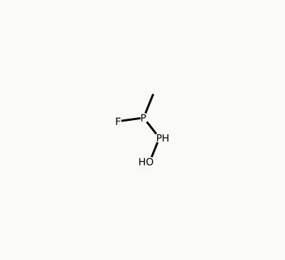 CP(F)PO